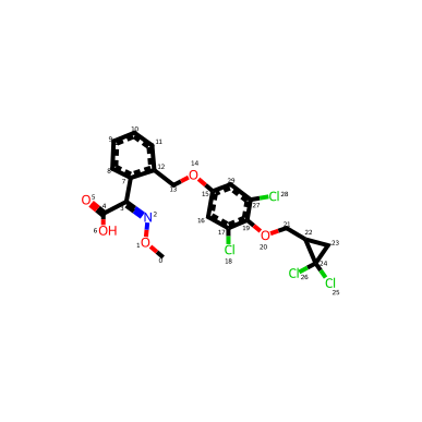 CON=C(C(=O)O)c1ccccc1COc1cc(Cl)c(OCC2CC2(Cl)Cl)c(Cl)c1